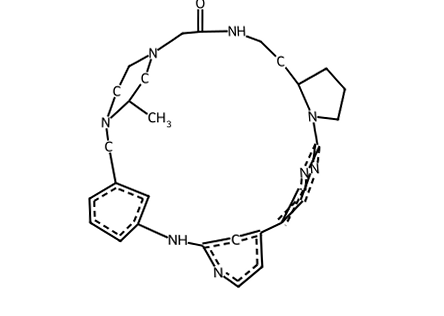 CC1CN2CCN1Cc1cccc(c1)Nc1cc(ccn1)-c1cnc(nc1)N1CCCC1CCNC(=O)C2